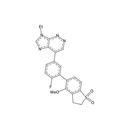 CCn1cnc2c(-c3ccc(F)c(-c4ccc5c(c4OC)CCS5(=O)=O)c3)cnnc21